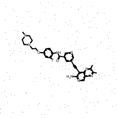 Cc1nc2cnc(N)c(C#Cc3cncc(C(=O)Nc4ccc(OCCN5CCN(C)CC5)cc4F)c3)c2nc1C